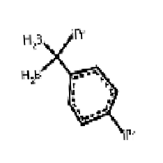 BC(B)(c1ccc(C(C)C)cc1)C(C)C